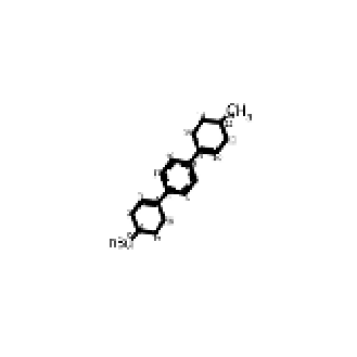 CCCCC1CC=C(c2ccc(C3=CCC(C)CC3)cc2)CC1